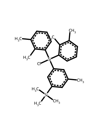 Cc1cc([Si](C)(C)C)cc([Si](Cl)(c2cccc(C)c2C)c2cccc(C)c2C)c1